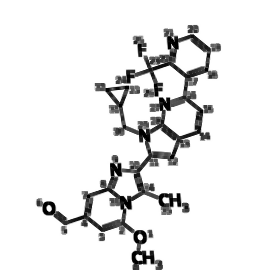 COc1cc(C=O)cc2nc(-c3cc4ccc(-c5cccnc5C(F)(F)F)nc4n3CC3CC3)c(C)n12